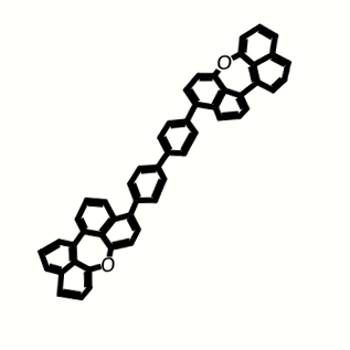 c1cc2cccc3c4cccc5c(-c6ccc(-c7ccc(-c8ccc9oc%10cccc%11cccc(c%12cccc8c9%12)c%11%10)cc7)cc6)ccc(oc(c1)c23)c54